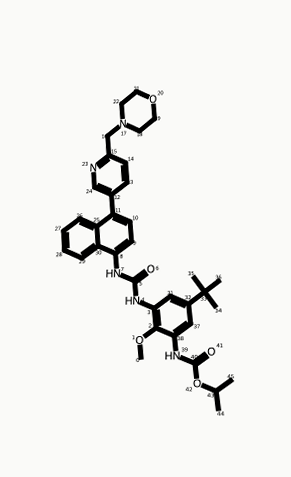 COc1c(NC(=O)Nc2ccc(-c3ccc(CN4CCOCC4)nc3)c3ccccc23)cc(C(C)(C)C)cc1NC(=O)OC(C)C